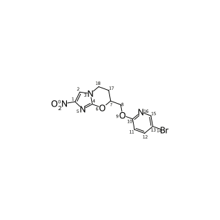 O=[N+]([O-])c1cn2c(n1)OC(COc1ccc(Br)cn1)CC2